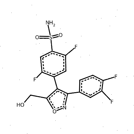 NS(=O)(=O)c1cc(F)c(-c2c(-c3ccc(F)c(F)c3)noc2CO)cc1F